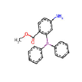 COC(=O)c1ccc(N)cc1P(c1ccccc1)c1ccccc1